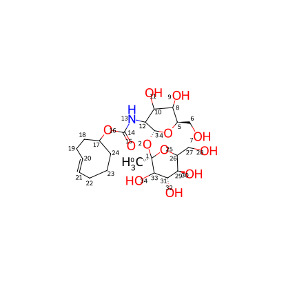 C[C@]1(O[C@H]2O[C@H](CO)C(O)C(O)C2NC(=O)OC2CC/C=C/CCC2)OC(CO)[C@@H](O)[C@H](O)C1O